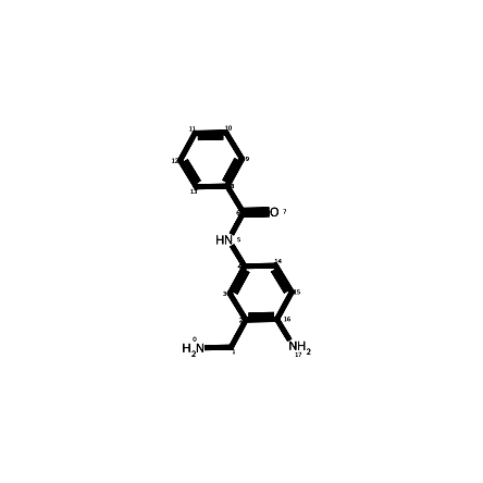 NCc1cc(NC(=O)c2ccccc2)ccc1N